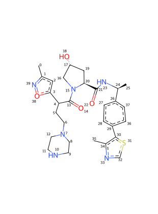 Cc1cc(C(CCN2CCNCC2)C(=O)N2C[C@H](O)C[C@H]2C(=O)N[C@@H](C)c2ccc(-c3scnc3C)cc2)on1